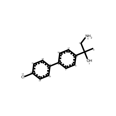 CC(O)(CN)c1ccc(-c2ccc(Cl)cc2)cc1